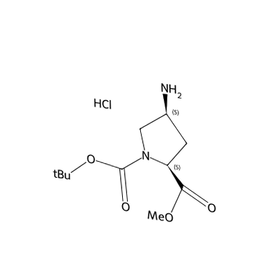 COC(=O)[C@@H]1C[C@H](N)CN1C(=O)OC(C)(C)C.Cl